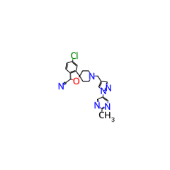 Cc1ncc(-n2cc(CN3CCC4(CC3)OC(C#N)c3ccc(Cl)cc34)cn2)cn1